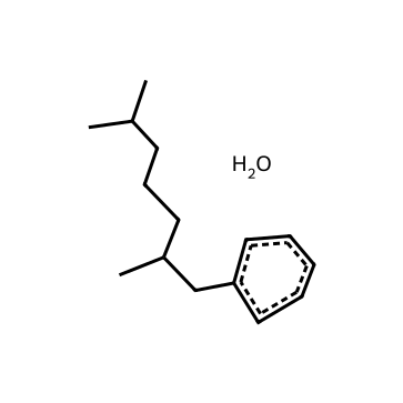 CC(C)CCCC(C)Cc1ccccc1.O